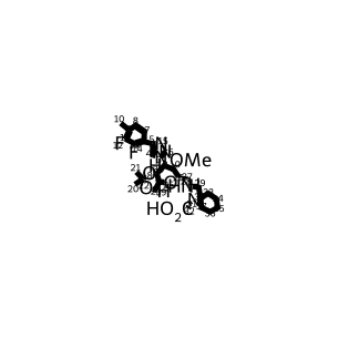 CO[C@@H]1[C@@H](n2cc(-c3ccc(C)c(F)c3F)nn2)[C@H]2OC(C)(C)OC[C@H]2O[C@@H]1CNCC1(NC(=O)O)CCCCC1